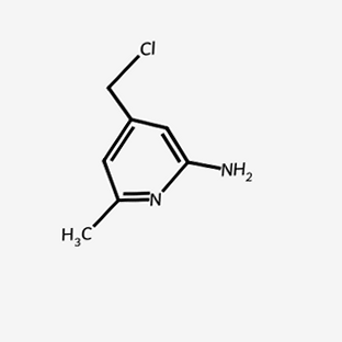 Cc1cc(CCl)cc(N)n1